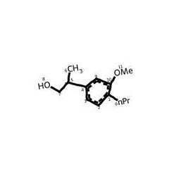 CCCc1ccc([C](C)CO)cc1OC